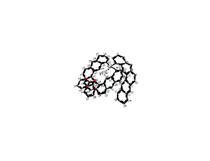 C[Si](c1cccc2cc3ccc4cc5ccccc5cc4c3cc12)(c1cccc2cc3ccc4cc5ccccc5cc4c3cc12)c1cccc2cc3ccc4cc5ccccc5cc4c3cc12